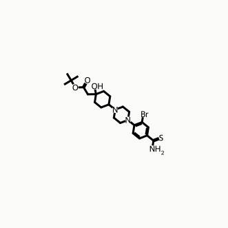 CC(C)(C)OC(=O)CC1(O)CCC(N2CCN(c3ccc(C(N)=S)cc3Br)CC2)CC1